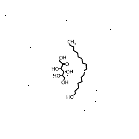 CCCCCCCC/C=C\CCCCCCCCO.O=C(CO)[C@H](O)[C@@H](O)[C@H](O)CO